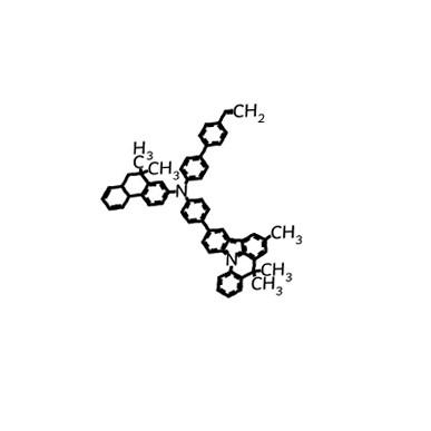 C=Cc1ccc(-c2ccc(N(c3ccc(-c4ccc5c(c4)c4cc(C)cc6c4n5-c4ccccc4C6(C)C)cc3)c3ccc4c(c3)C(C)(C)CC3C=CC=CC43)cc2)cc1